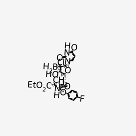 B[C@]1(Cl)[C@H](O)[C@@H](CO[P@](=O)(N[C@@H](C)C(=O)OCC)Oc2ccc(F)cc2)O[C@H]1n1ccc(=O)[nH]c1=O